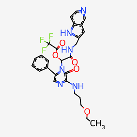 CCOCCCNc1ncc(-c2ccccc2)n(C(OC(=O)C(F)(F)F)C(=O)NCc2cc3cnccc3[nH]2)c1=O